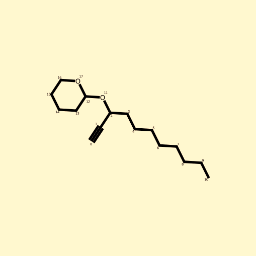 C#CC(CCCCCCCC)OC1CCCCO1